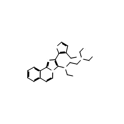 CCc1ccsc1-c1nc2c3ccccc3ccn2c1N(CC)CCN(CC)CC